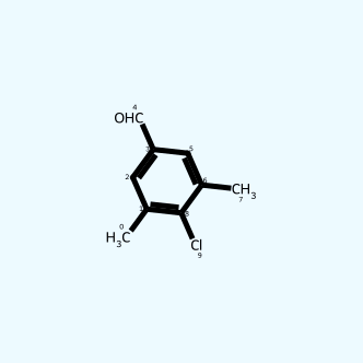 Cc1cc(C=O)cc(C)c1Cl